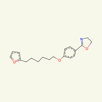 c1coc(CCCCCCOc2ccc(C3=NCCO3)cc2)c1